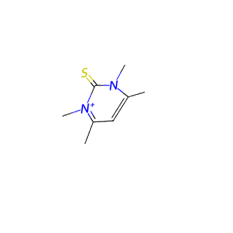 Cc1cc(C)[n+](C)c(=S)n1C